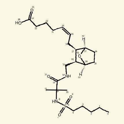 CCCCCS(=O)(=O)NC(C)(C)C(=O)NC[C@H]1[C@@H](C/C=C\CCCC(=O)O)[C@H]2CC[C@@H]1O2